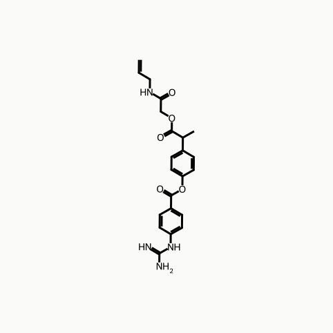 C=CCNC(=O)COC(=O)C(C)c1ccc(OC(=O)c2ccc(NC(=N)N)cc2)cc1